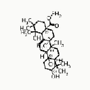 CC1(C)[C@@H](O)CC[C@]2(C)[C@H]3CC=C4C5C(C)(C)C(C)(C)CC[C@]5(C(=O)OP)CC[C@@]4(C)[C@]3(C)CC[C@@H]12